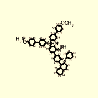 COc1ccc(-c2ccc(N(C3=CC=C(c4ccc5c6c7ccccc7ccc6n(-c6ccccc6)c5c4)/C(=N/S)C3=N)c3ccc(-c4ccc(OC)cc4)cc3)cc2)cc1